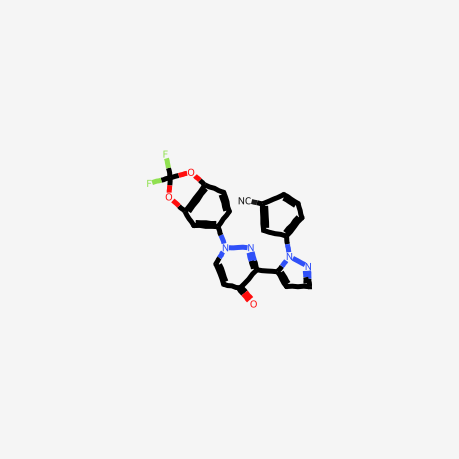 N#Cc1cccc(-n2nccc2-c2nn(-c3ccc4c(c3)OC(F)(F)O4)ccc2=O)c1